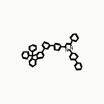 c1ccc(-c2ccc(-c3nc(-c4ccccc4)cc(-c4ccc(-c5cccc(-c6ccc7c(c6)C(c6ccccc6)(c6ccccc6)c6ccccc6-7)c5)cc4)n3)cc2)cc1